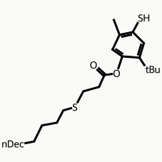 CCCCCCCCCCCCCCSCCC(=O)Oc1cc(C)c(S)cc1C(C)(C)C